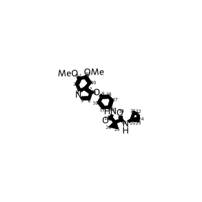 COc1cc2nccc(Oc3ccc(NC(=O)C4(C(=O)NC56CC(C5)C6)CC4)cc3)c2cc1OC